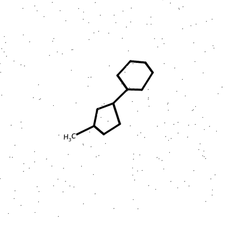 CC1CCC([C]2CCCCC2)C1